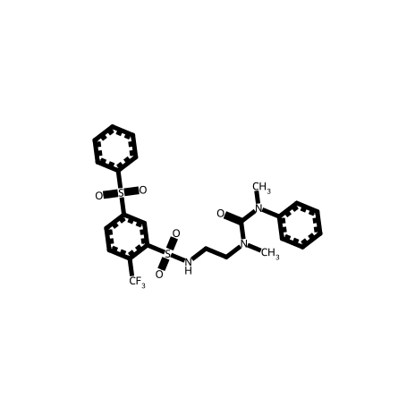 CN(CCNS(=O)(=O)c1cc(S(=O)(=O)c2ccccc2)ccc1C(F)(F)F)C(=O)N(C)c1ccccc1